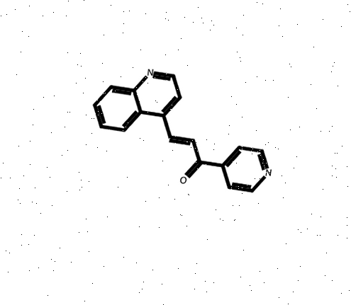 O=C(C=Cc1ccnc2ccccc12)c1ccncc1